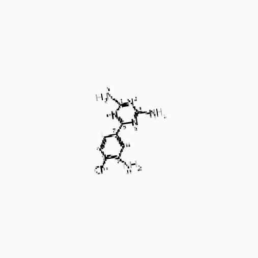 Nc1nc(N)nc(-c2ccc(Cl)c(N)c2)n1